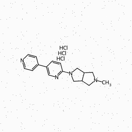 CN1CC2CN(c3ccc(-c4ccncc4)cn3)CC2C1.Cl.Cl.Cl